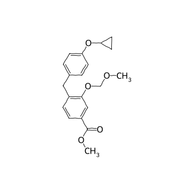 COCOc1cc(C(=O)OC)ccc1Cc1ccc(OC2CC2)cc1